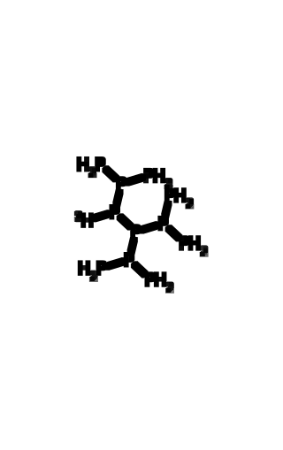 [3H]P(P(P)P)P(P(P)P)P(P)P